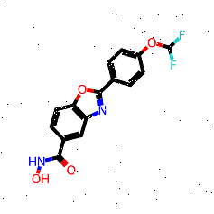 O=C(NO)c1ccc2oc(-c3ccc(OC(F)F)cc3)nc2c1